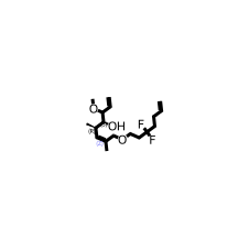 C=CCCC(F)(F)CCOC/C(C)=C\[C@@H](C)[C@H](O)C(C=C)OC